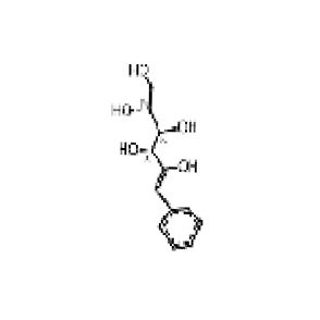 OC[C@@H](O)[C@@H](O)[C@H](O)C(O)=Cc1ccccc1